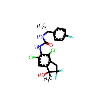 C[C@@H](NC(=O)Nc1c(Cl)cc2c(c1Cl)CC(F)(F)C2(C)O)c1ccc(F)cc1